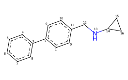 [c]1cc(-c2ccccc2)ccc1CNC1CC1